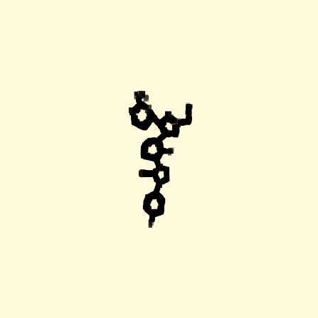 CCn1cc(-c2cccc(N3CCN(c4ccc(F)cc4)C3=O)c2F)c(-c2ccnc(N)n2)n1